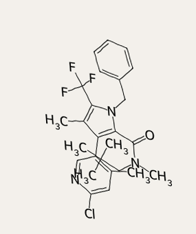 Cc1cc(Cl)ncc1-c1c(C)c(C(F)(F)F)n(Cc2ccccc2)c1C(=O)N(C)CC(C)(C)C